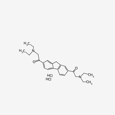 CCN(CC)CC(=O)c1ccc2c(c1)Cc1cc(C(=O)CN(CC)CC)ccc1-2.Cl.Cl